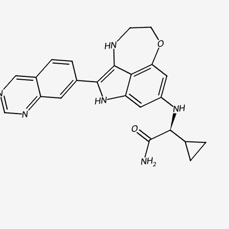 NC(=O)[C@@H](Nc1cc2c3c(c(-c4ccc5cncnc5c4)[nH]c3c1)NCCO2)C1CC1